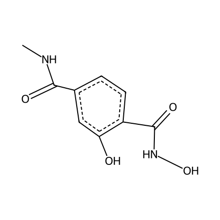 CNC(=O)c1ccc(C(=O)NO)c(O)c1